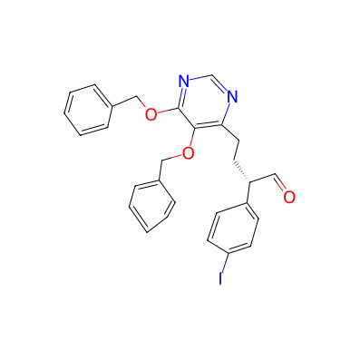 O=C[C@@H](CCc1ncnc(OCc2ccccc2)c1OCc1ccccc1)c1ccc(I)cc1